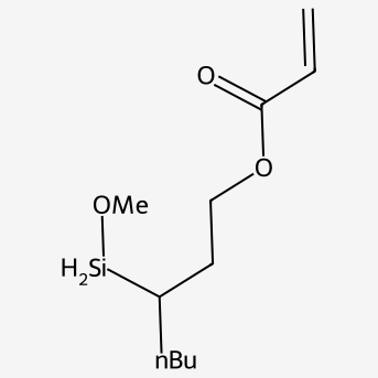 C=CC(=O)OCCC(CCCC)[SiH2]OC